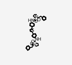 O=C(Nc1ccc(-c2ccc(-c3ccc(NC(=O)[C@@H]4CCCN4C(=O)Cc4ccccc4)cc3)s2)cc1)[C@@H]1CCCN1C(=O)Cc1ccccc1